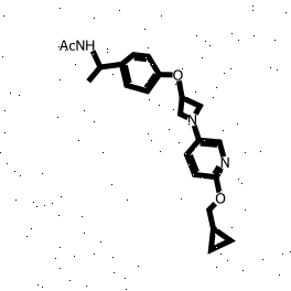 CC(=O)NC(C)c1ccc(OC2CN(c3ccc(OCC4CC4)nc3)C2)cc1